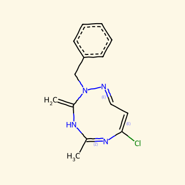 C=C1N\C(C)=N/C(Cl)=C\C=N\N1Cc1ccccc1